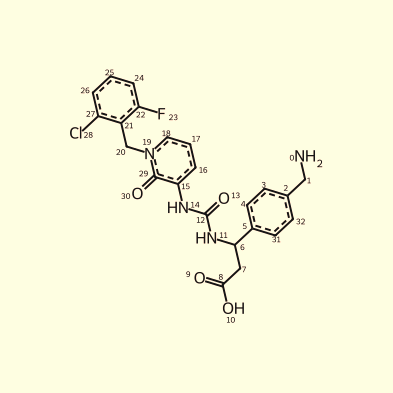 NCc1ccc(C(CC(=O)O)NC(=O)Nc2cccn(Cc3c(F)cccc3Cl)c2=O)cc1